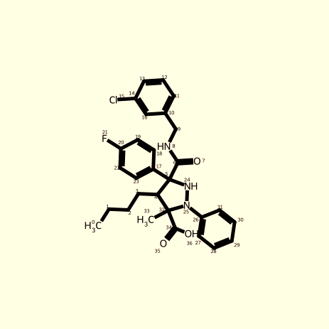 CCCCC1C(C(=O)NCc2cccc(Cl)c2)(c2ccc(F)cc2)NN(c2ccccc2)C1(C)C(=O)O